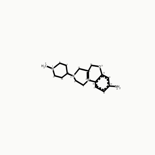 CN1CCC(N2CC[N+]3=C(COc4cc(N)ccc43)C2)CC1